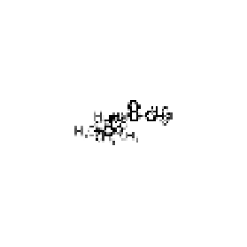 COc1ccc(C(C)(C)C)cc1NC(=O)Nc1ccc(-c2ccc(C3OCCO3)nc2)c2ccccc12